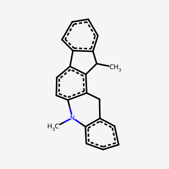 CC1c2ccccc2-c2ccc3c(c21)Cc1ccccc1N3C